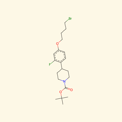 CC(C)(C)OC(=O)N1CCC(c2ccc(OCCCCBr)cc2F)CC1